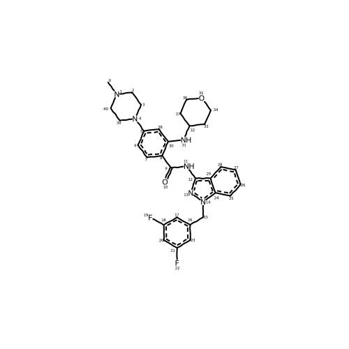 CN1CCN(c2ccc(C(=O)Nc3nn(Cc4cc(F)cc(F)c4)c4ccccc34)c(NC3CCOCC3)c2)CC1